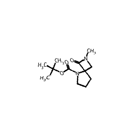 CN1CC2(CCCN2C(=O)OC(C)(C)C)C1=O